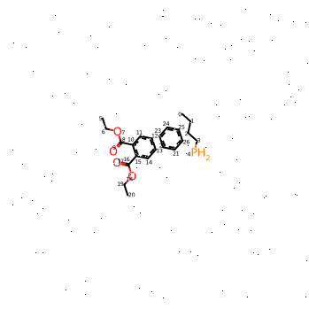 CCCCP.CCOC(=O)c1ccccc1C(=O)OCC.c1ccccc1